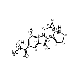 CN(C)C(=O)c1cc(Br)c2c(c1)c(F)c(C1=CCCNC1)n2CC1CC1